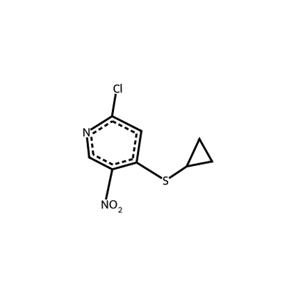 O=[N+]([O-])c1cnc(Cl)cc1SC1CC1